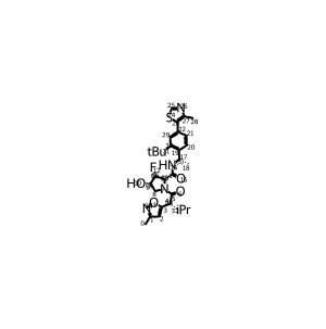 Cc1cc([C@H](C(=O)N2C[C@H](O)[C@H](F)[C@H]2C(=O)N[C@@H](C)c2ccc(-c3scnc3C)cc2C(C)(C)C)C(C)C)on1